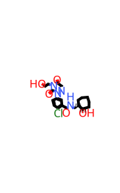 O=C(NC[C@H]1CCCCC[C@H]1O)c1cc(-n2ncc(=O)n(CCO)c2=O)ccc1Cl